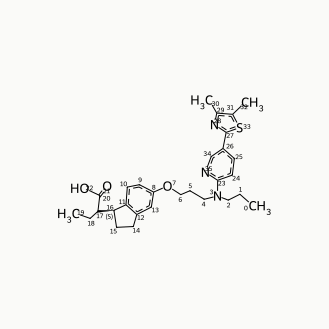 CCCN(CCCOc1ccc2c(c1)CC[C@H]2C(CC)C(=O)O)c1ccc(-c2nc(C)c(C)s2)cn1